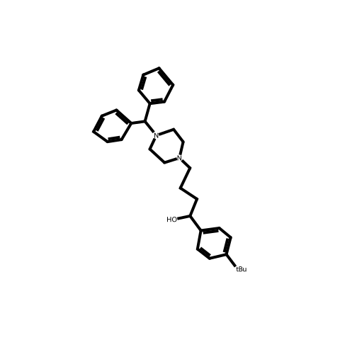 CC(C)(C)c1ccc(C(O)CCCN2CCN(C(c3ccccc3)c3ccccc3)CC2)cc1